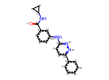 O=C(NC1CC1)c1cccc(Nc2ccc(-c3ccccc3)nn2)c1